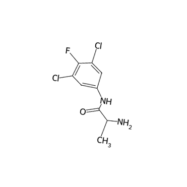 CC(N)C(=O)Nc1cc(Cl)c(F)c(Cl)c1